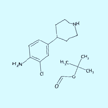 CC(C)(C)OC=O.Nc1ccc(C2CCNCC2)cc1Cl